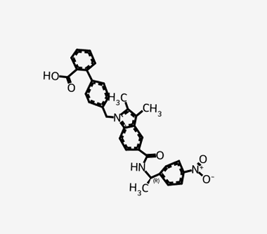 Cc1c(C)n(Cc2ccc(-c3ccccc3C(=O)O)cc2)c2ccc(C(=O)N[C@H](C)c3ccc([N+](=O)[O-])cc3)cc12